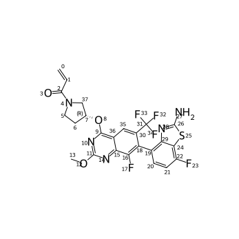 C=CC(=O)N1CC[C@@H](Oc2nc(OC)nc3c(F)c(-c4ccc(F)c5sc(N)nc45)c(C(F)(F)F)cc23)C1